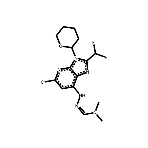 CN(C)/C=N\Nc1cc(Cl)nc2c1nc(C(F)F)n2C1CCCCO1